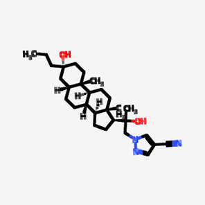 CCC[C@@]1(O)CC[C@@]2(C)[C@H](CC[C@@H]3[C@@H]2CC[C@]2(C)[C@@H](C(C)(O)Cn4cc(C#N)cn4)CC[C@@H]32)C1